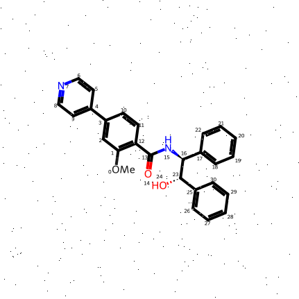 COc1cc(-c2ccncc2)ccc1C(=O)N[C@@H](c1ccccc1)[C@@H](O)c1ccccc1